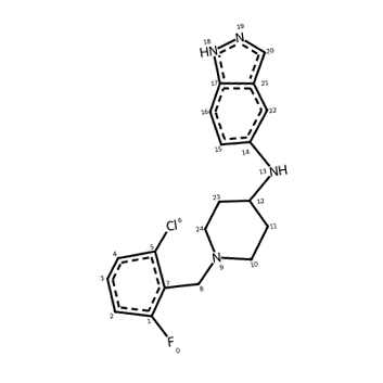 Fc1cccc(Cl)c1CN1CCC(Nc2ccc3[nH]ncc3c2)CC1